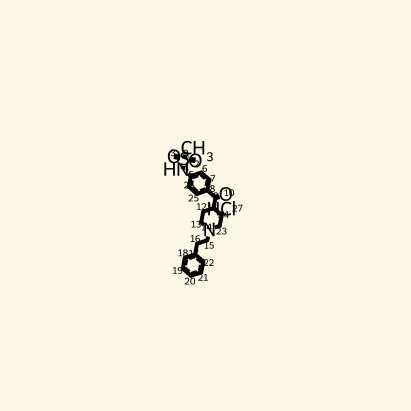 CS(=O)(=O)Nc1ccc(C(=O)C2CCN(CCc3ccccc3)CC2)cc1.Cl